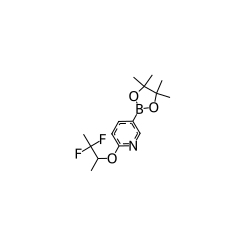 CC(Oc1ccc(B2OC(C)(C)C(C)(C)O2)cn1)C(C)(F)F